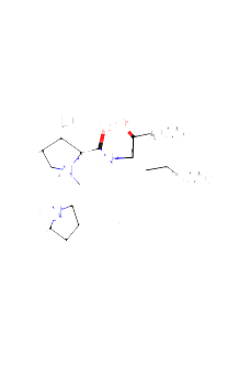 CC[C@H]1CCN(C[C@@H]2CCCN2)[C@@H]1C(=O)N[C@@H](CCSC)C(=O)OC.Cl